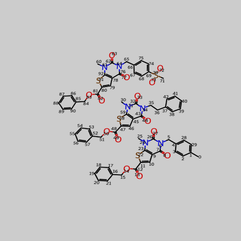 Cc1ccc(Cn2c(=O)c3cc(C(=O)OCc4ccccc4)sc3n(C)c2=O)cc1.Cn1c(=O)n(CCc2ccccc2)c(=O)c2cc(C(=O)OCc3ccccc3)sc21.Cn1c(=O)n(Cc2ccc(S(C)(=O)=O)cc2)c(=O)c2cc(C(=O)OCc3ccccc3)sc21